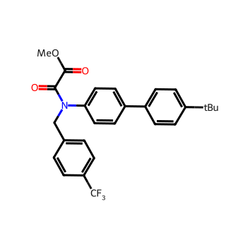 COC(=O)C(=O)N(Cc1ccc(C(F)(F)F)cc1)c1ccc(-c2ccc(C(C)(C)C)cc2)cc1